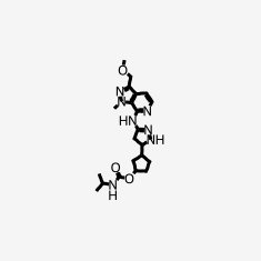 COCc1nn(C)c2c(NC3=NNC(C4CCC(OC(=O)NC(C)C)C4)C3)nccc12